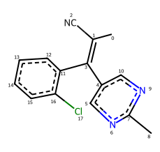 CC(C#N)=C(c1cnc(C)nc1)c1ccccc1Cl